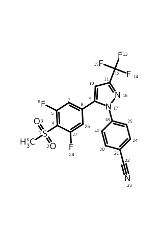 CS(=O)(=O)c1c(F)cc(-c2cc(C(F)(F)F)nn2-c2ccc(C#N)cc2)cc1F